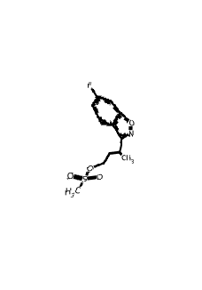 CC(CCOS(C)(=O)=O)c1noc2cc(F)ccc12